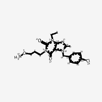 CCn1c(=O)n(CCCON)c(=O)c2c1nc(C)n2Cc1ccc(Cl)cc1